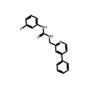 Fc1cccc(NC(=S)NCc2cc(-c3ccccc3)ccn2)c1